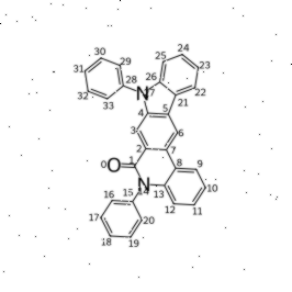 O=c1c2cc3c(cc2c2ccccc2n1-c1ccccc1)c1ccccc1n3-c1ccccc1